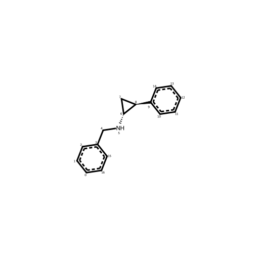 c1ccc(CN[C@@H]2C[C@H]2c2ccccc2)cc1